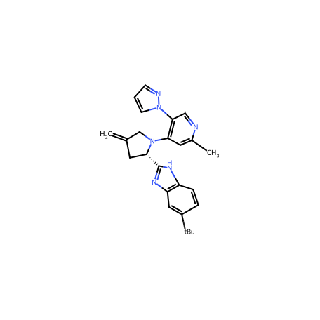 C=C1C[C@@H](c2nc3cc(C(C)(C)C)ccc3[nH]2)N(c2cc(C)n[c]c2-n2cccn2)C1